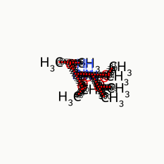 CCCCCCCCC(CCCCCCCC)OC(=O)CCCCCCCN(CCCCCCCC(=O)OCC(C)CCCCCCC)CCNC(=O)CCCC(=O)NCCN(CCCCCCCC(=O)OCC(C)CCCCCCC)CCCCCCCC(=O)OC(CCCCCCCC)CCCCCCCC